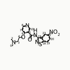 CN(C)CCOc1ccncc1C(=O)Nc1nsc2ccc([N+](=O)[O-])cc12